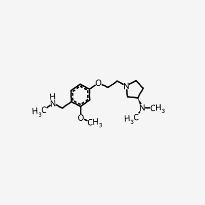 CNCc1ccc(OCCN2CC[C@@H](N(C)C)C2)cc1OC